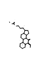 C/C=C1/C(=O)[C@H]2C3CCC([C@H](C)CCNC(=O)OC)[C@@]3(C)CC[C@@H]2[C@@]2(C)CCCC[C@@H]12